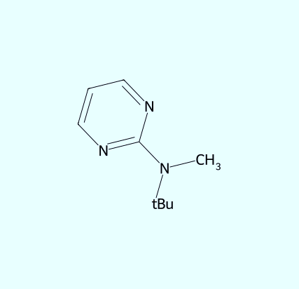 CN(c1ncccn1)C(C)(C)C